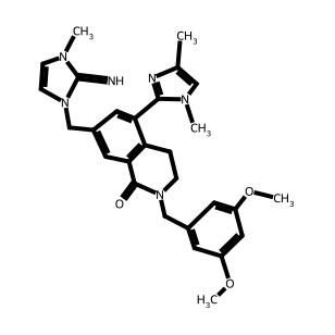 COc1cc(CN2CCc3c(cc(Cn4ccn(C)c4=N)cc3-c3nc(C)cn3C)C2=O)cc(OC)c1